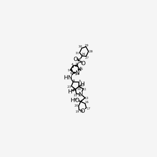 O=S(=O)(c1ccc(NC2C[C@@H]3CN(CC4(O)CCOCC4)C[C@@H]3C2)nn1)C1CCCCC1